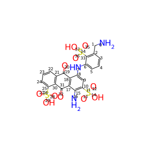 NCc1cccc(Nc2cc(S(=O)(=O)O)c(N)c3c2C(=O)c2cccc(S(=O)(=O)O)c2C3=O)c1S(=O)(=O)O